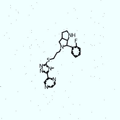 Cn1c(SCCCN2CC3CCNC3C2c2ccccc2F)nnc1-c1cnccn1